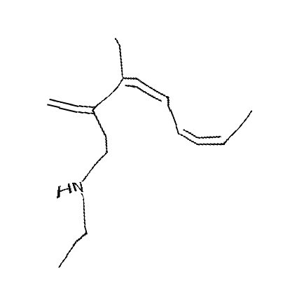 C=C(CNCC)/C(C)=C\C=C/C